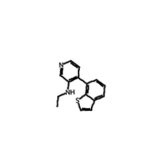 CCNc1cnccc1-c1cccc2ccsc12